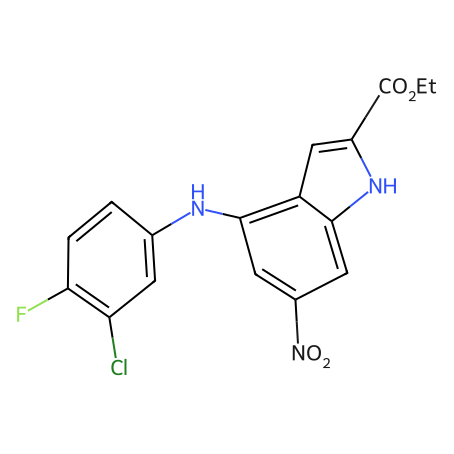 CCOC(=O)c1cc2c(Nc3ccc(F)c(Cl)c3)cc([N+](=O)[O-])cc2[nH]1